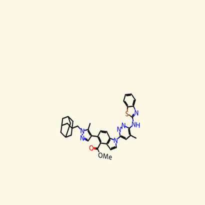 COC(=O)c1c(-c2cnn(CC34CC5CC(CC(C5)C3)C4)c2C)ccc2c1ccn2-c1cc(C)c(Nc2nc3ccccc3s2)nn1